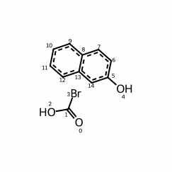 O=C(O)Br.Oc1ccc2ccccc2c1